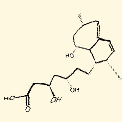 C[C@@H]1C=C2C=C[C@H](C)[C@H](CC[C@H](O)C[C@@H](O)CC(=O)O)C2[C@H](O)C1